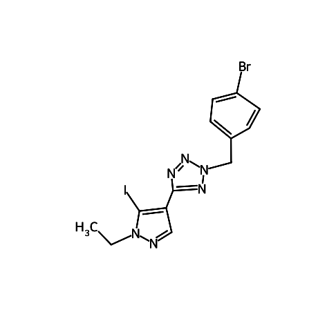 CCn1ncc(-c2nnn(Cc3ccc(Br)cc3)n2)c1I